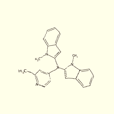 Cc1cc(N(c2cc3ccccc3n2C)c2cc3ccccc3n2C)ccn1